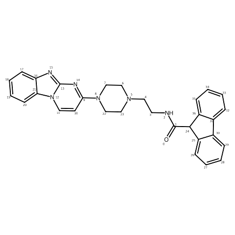 O=C(NCCN1CCN(c2ccn3c(n2)nc2ccccc23)CC1)C1c2ccccc2-c2ccccc21